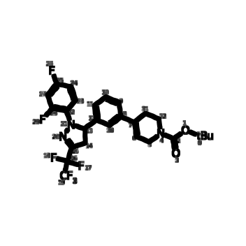 CC(C)(C)OC(=O)N1CC=C(c2cccc(C3CC(C(F)(F)C(F)(F)F)=NN3c3ccc(F)cc3F)c2)CC1